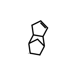 [CH]1CC2CC1C1CC=CC21